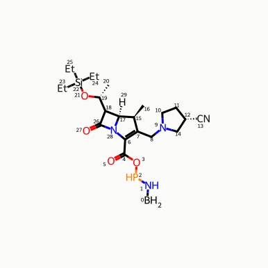 BNPOC(=O)C1=C(CN2CC[C@H](C#N)C2)[C@H](C)[C@@H]2C([C@@H](C)O[Si](CC)(CC)CC)C(=O)N12